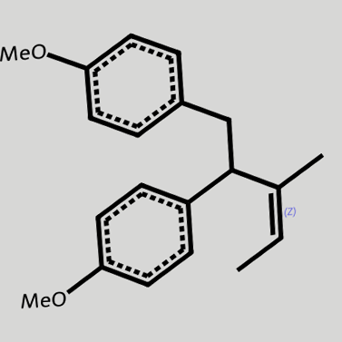 C/C=C(/C)C(Cc1ccc(OC)cc1)c1ccc(OC)cc1